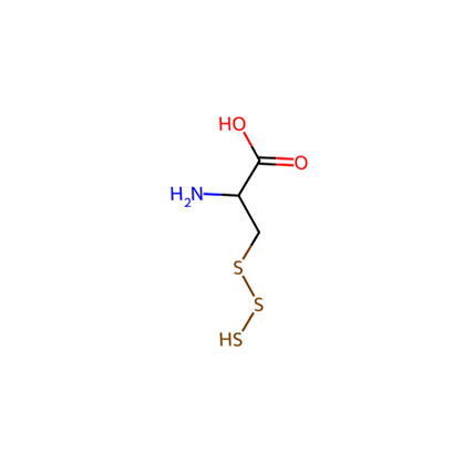 NC(CSSS)C(=O)O